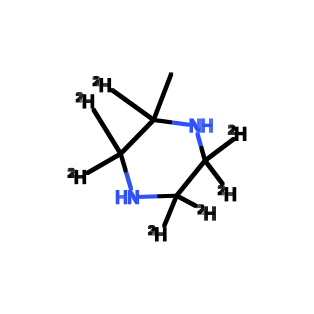 [2H]C1([2H])NC([2H])([2H])C([2H])(C)NC1([2H])[2H]